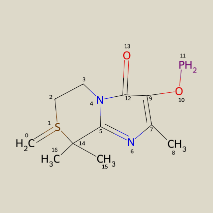 C=S1CCn2c(nc(C)c(OP)c2=O)C1(C)C